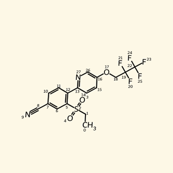 CCS(=O)(=O)c1cc(C#N)ccc1-c1ccc(OCC(F)(F)C(F)(F)F)cn1